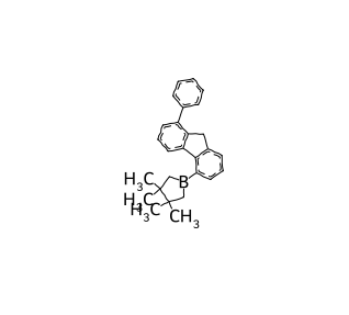 CC1(C)CB(c2cccc3c2-c2cccc(-c4ccccc4)c2C3)CC1(C)C